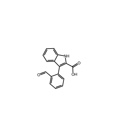 O=Cc1ccccc1-c1c(C(=O)O)[nH]c2ccccc12